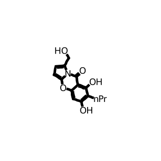 CCCc1c(O)cc2oc3ccc(CO)n3c(=O)c2c1O